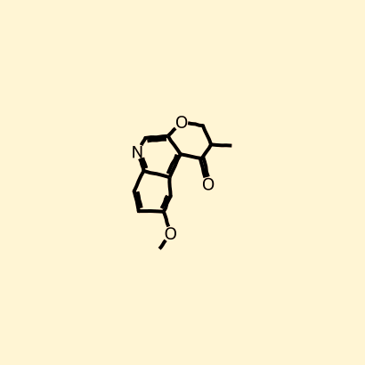 COc1ccc2ncc3c(c2c1)C(=O)C(C)CO3